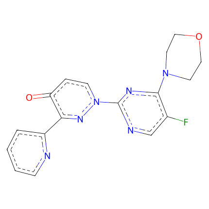 O=c1ccn(-c2ncc(F)c(N3CCOCC3)n2)nc1-c1ccccn1